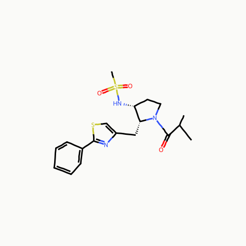 CC(C)C(=O)N1CC[C@@H](NS(C)(=O)=O)[C@H]1Cc1csc(-c2ccccc2)n1